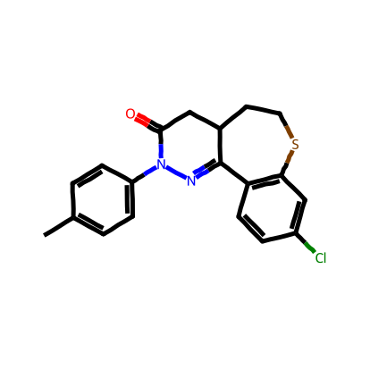 Cc1ccc(N2N=C3c4ccc(Cl)cc4SCCC3CC2=O)cc1